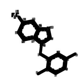 Cc1ccc(C)c(Cn2cnc3cc(C(F)(F)F)ccc32)c1